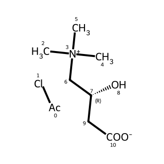 CC(=O)Cl.C[N+](C)(C)C[C@H](O)CC(=O)[O-]